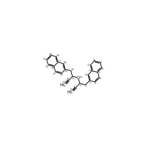 C#CC(Cc1ccc2ccccc2c1)OC(C#C)Cc1ccc2ccccc2c1